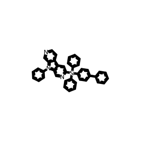 c1ccc(-c2ccc([Si](c3ccccc3)(c3ccccc3)c3cc4c5ccncc5n(-c5ccccc5)c4cn3)cc2)cc1